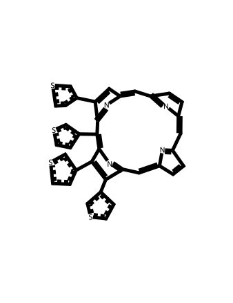 C1=CC2=NC1=CC1=NC(=C(c3ccsc3)C3=NC(=CC4=NC(=C2)C=C4)C=C3c2ccsc2)C(c2ccsc2)=C1c1ccsc1